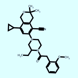 CCC1CN(c2cc(C3CC3)c3c(c2C#N)CC(C)(C)OC3)CCN1C(=O)Cc1ccccc1OC